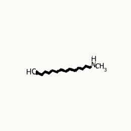 C#CCCCCCCCCCCCCCNC